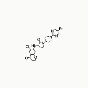 CCc1cnc(N2CCC(N3CCC(Nc4cc5c(cc4Cl)C(=O)CCO5)C3=O)CC2)nc1